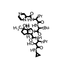 CCCC(NC(=O)C1[C@H]2CC[C@@](C)(O)[C@H]2CN1C(=O)C(NC(=O)C(NC(=O)c1cnccn1)C(C)C)C(C)(C)C)C(O)C(=O)NC1CC1